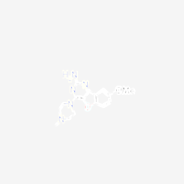 COc1ccc2oc3c(N4CCN(C)CC4)nc(N)nc3c2c1